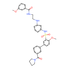 COc1cccc(C(=O)NCCNc2cccc(NS(=O)(=O)c3cc(-c4cccc(C(=O)N5CCCC5)c4)ccc3OC)c2)c1